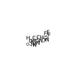 Cc1c(N2CCc3ncc(C(F)(F)F)cc3C2)nc2nn(CC3CCC3)c(=O)n2c1C